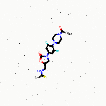 COC(=O)N1CCN(c2c(F)cc(N3CC(CNC(=S)C(C)C)OC3=O)cc2F)CC1